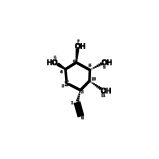 C#C[C@@H]1S[C@@H](O)[C@@H](O)[C@H](O)[C@@H]1O